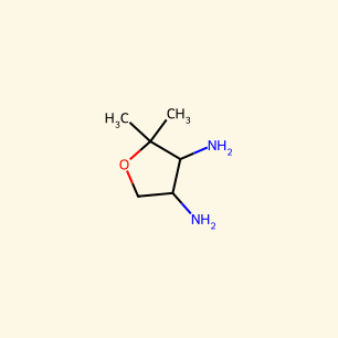 CC1(C)OCC(N)C1N